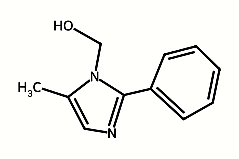 Cc1cnc(-c2ccccc2)n1CO